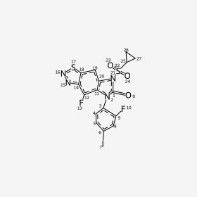 O=c1n(-c2ccc(I)cc2F)c2c(F)c3nnsc3cc2n1S(=O)(=O)C1CC1